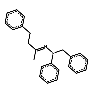 CC(CCc1ccccc1)=NN(Cc1ccccc1)c1ccccc1